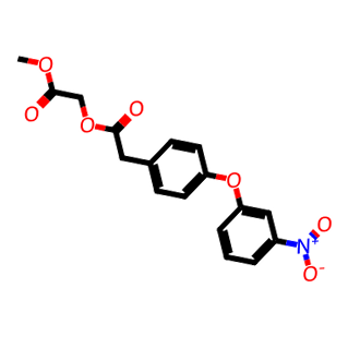 COC(=O)COC(=O)Cc1ccc(Oc2cccc([N+](=O)[O-])c2)cc1